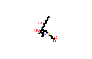 C#CC12CC(O)C(C=C[C@@H](O)CCCCC)C1CC(SCCCC(=O)[O-])=N2.[Na+]